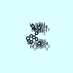 Bc1c(B)c(B)c(-c2ccc3c(-c4cccc(-c5nc6ccccc6n5-c5c(B)c(B)c(B)c(O)c5B)c4)c4ccccc4c(-c4cccc5sc6ccccc6c45)c3c2)c(B)c1B